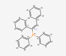 C(=C(/c1ccccc1)P(c1ccccc1)c1ccccc1)/c1ccccc1